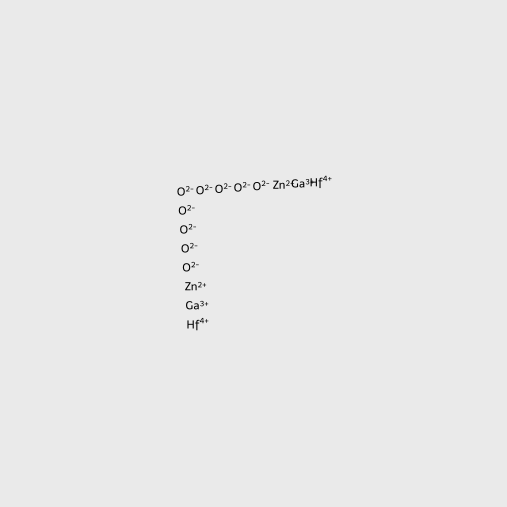 [Ga+3].[Ga+3].[Hf+4].[Hf+4].[O-2].[O-2].[O-2].[O-2].[O-2].[O-2].[O-2].[O-2].[O-2].[Zn+2].[Zn+2]